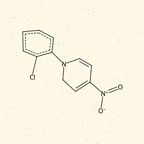 O=[N+]([O-])C1=CCN(c2ccccc2Cl)C=C1